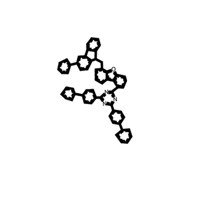 c1ccc(-c2ccc(-c3nc(-c4ccc(-c5ccccc5)cc4)nc(-c4cccc5oc6c(CC7c8ccccc8-c8cc(-c9ccccc9)ccc87)cccc6c45)n3)cc2)cc1